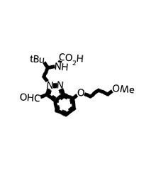 COCCCOc1cccc2c(C=O)n(CC(NC(=O)O)C(C)(C)C)nc12